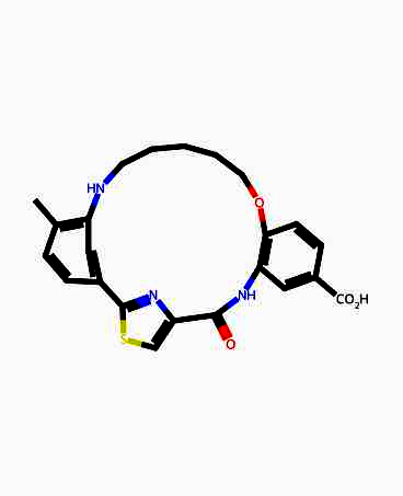 Cc1ccc2cc1NCCCCCOc1ccc(C(=O)O)cc1NC(=O)c1csc-2n1